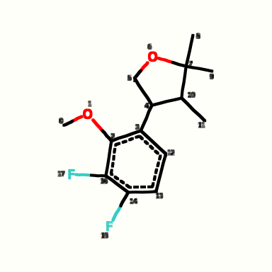 COc1c(C2[CH]OC(C)(C)C2C)ccc(F)c1F